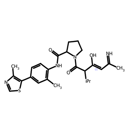 CC(=N)/C=C(\O)C(C(=O)N1CCCC1C(=O)Nc1ccc(-c2scnc2C)cc1C)C(C)C